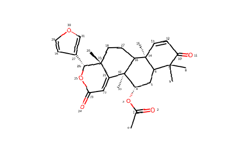 CC(=O)O[C@H]1CC2C(C)(C)C(=O)C=C[C@]2(C)C2CC[C@]3(C)C(=CC(=O)O[C@@H]3c3ccoc3)[C@@]21C